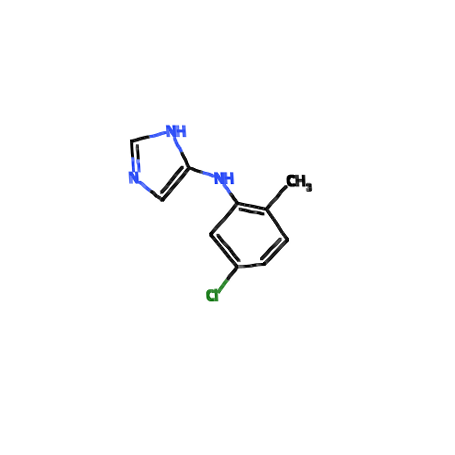 Cc1ccc(Cl)cc1Nc1cnc[nH]1